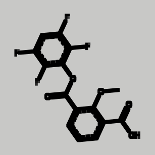 COc1c(C(=O)O)cccc1C(=O)Oc1c(F)c(F)cc(F)c1F